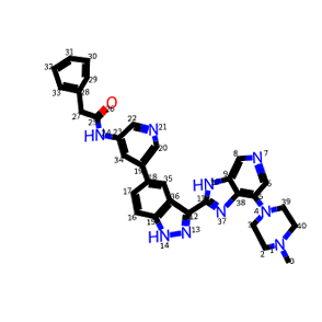 CN1CCN(c2cncc3[nH]c(-c4n[nH]c5ccc(-c6cncc(NC(=O)Cc7[c]cccc7)c6)cc45)nc23)CC1